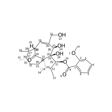 COc1ccccc1C(=O)O[C@H]1C(C)=C[C@]23C(=O)[C@@H](C=C(CO)[C@@H](O)[C@]12O)C(C)(C)[C@@H](C)C[C@H]3C